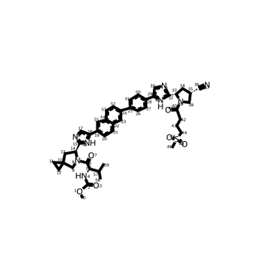 COC(=O)N[C@H](C(=O)N1CC2(CC2)C[C@H]1c1ncc(-c2ccc3cc(-c4ccc(-c5cnc([C@@H]6C[C@H](C#N)CN6C(=O)CCCS(C)(=O)=O)[nH]5)cc4)ccc3c2)[nH]1)C(C)C